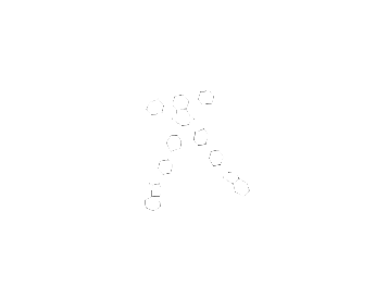 Cc1cc(C)c(-c2ccc(-c3c(C)cc(C)cc3C)c3nc(-c4ccc(-c5ccc(-c6nc7ccccc7o6)cc5)cc4)c(-c4ccc(-c5ccc(-c6nc7ccccc7o6)cc5)cc4)nc23)c(C)c1